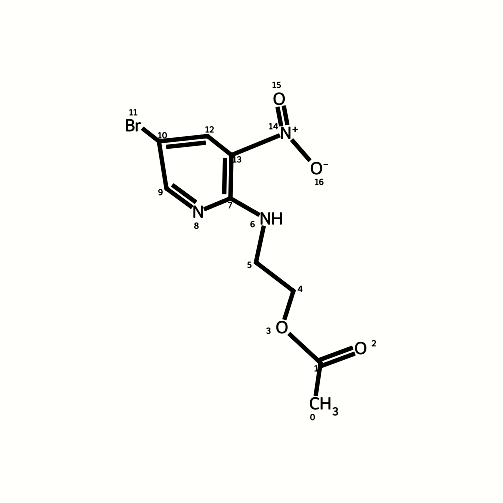 CC(=O)OCCNc1ncc(Br)cc1[N+](=O)[O-]